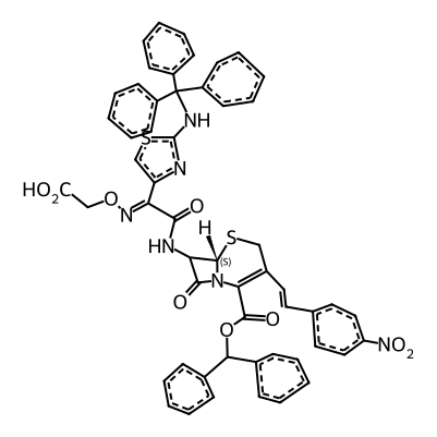 O=C(O)CON=C(C(=O)NC1C(=O)N2C(C(=O)OC(c3ccccc3)c3ccccc3)=C(C=Cc3ccc([N+](=O)[O-])cc3)CS[C@@H]12)c1csc(NC(c2ccccc2)(c2ccccc2)c2ccccc2)n1